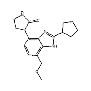 COCc1ccc(C2CCNC2=O)c2nc(C3CCCC3)[nH]c12